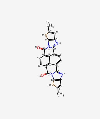 Cc1cc2nc3c4ccc5c6c(ccc(c(=O)n3c2s1)c46)c(=O)n1c5nc2cc(C)sc21